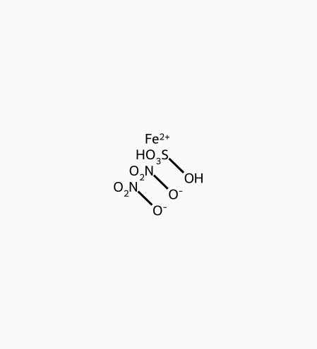 O=S(=O)(O)O.O=[N+]([O-])[O-].O=[N+]([O-])[O-].[Fe+2]